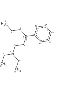 CCC[SiH](CCN(CC)CC)c1ccccc1